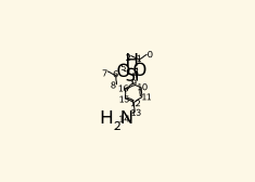 CC(C)O[SiH](OC(C)C)c1ccc(CN)cc1